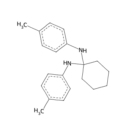 Cc1ccc(NC2(Nc3ccc(C)cc3)CCCCC2)cc1